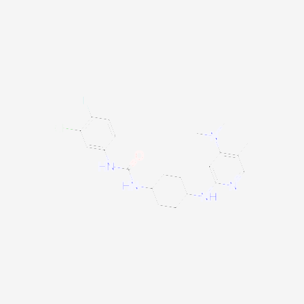 Cc1cnc(NC2CCC(NC(=O)Nc3ccc(F)c(Cl)c3)CC2)cc1N(C)C